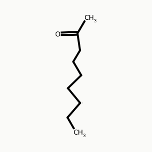 CC[CH]CCCCC(C)=O